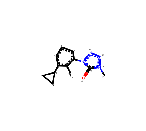 [3H]c1c(C2CC2)cccc1-n1nnn(C)c1=O